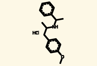 COc1ccc(CC(C)NC(C)c2ccccc2)cc1.Cl